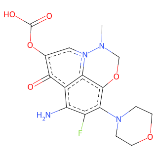 CN1COc2c(N3CCOCC3)c(F)c(N)c3c(=O)c(OC(=O)O)cn1c23